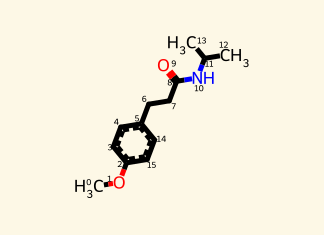 COc1ccc(CCC(=O)NC(C)C)cc1